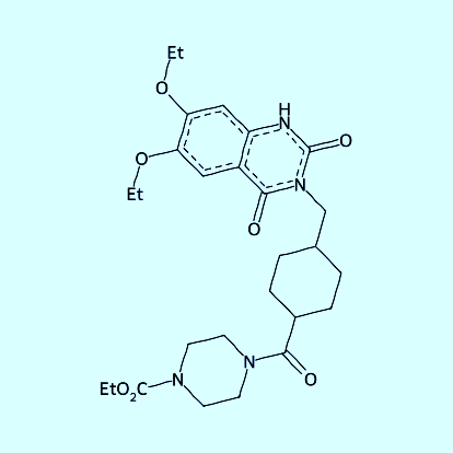 CCOC(=O)N1CCN(C(=O)C2CCC(Cn3c(=O)[nH]c4cc(OCC)c(OCC)cc4c3=O)CC2)CC1